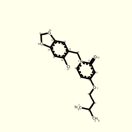 CC(C)CCOc1ccn(Cc2cc3c(cc2Cl)OCO3)c(=O)c1